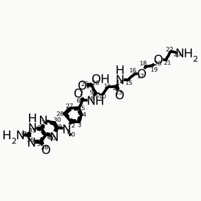 CN(c1ccc(C(=O)N[C@H](CCC(=O)NCCOCCOCCN)C(=O)O)cc1)c1cnc2[nH]c(N)nc(=O)c2n1